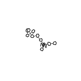 c1ccc(-c2ccc(-c3cc(-c4ccc(-c5cccc(-c6cccc7c6-c6ccccc6C76c7ccccc7-c7ccccc76)c5)cc4)nc(-c4ccccc4)n3)cc2)cc1